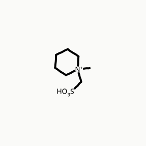 C[N+]1(CS(=O)(=O)O)CCCCC1